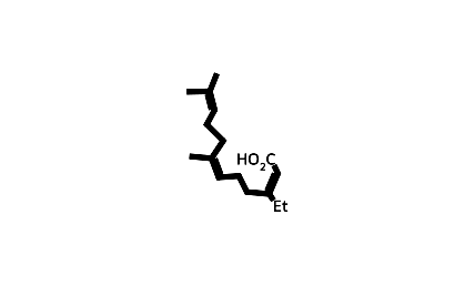 CCC(=CC(=O)O)CCC=C(C)CCC=C(C)C